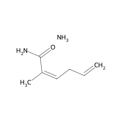 C=CCC=C(C)C(N)=O.N